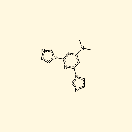 CN(C)c1cc(-n2ccnc2)nc(-n2ccnc2)c1